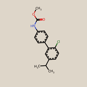 COC(=O)Nc1ccc(-c2cc(C(C)C)ccc2Cl)cc1